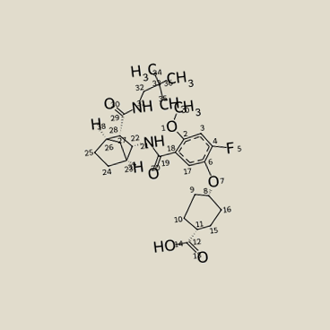 COc1cc(F)c(O[C@H]2CC[C@@H](C(=O)O)CC2)cc1C(=O)N[C@@H]1[C@H]2CC[C@H](C2)[C@@H]1C(=O)NCC(C)(C)C